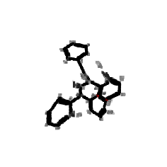 c1ccc(P(NP(c2ccccn2)c2ccccn2)c2ccccn2)nc1